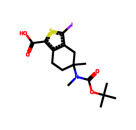 CN(C(=O)OC(C)(C)C)C1(C)CCc2c(C(=O)O)sc(I)c2C1